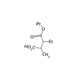 CCC(C(=O)OC(C)C)C(C)C(=O)O